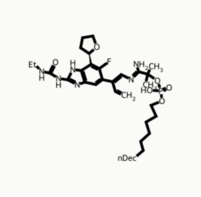 C=C/C(=C\N=C(/N)C(C)(C)OP(=O)(O)OCCCCCCCCCCCCCCCC)c1cc2nc(NC(=O)NCC)[nH]c2c([C@H]2CCCO2)c1F